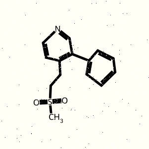 CS(=O)(=O)CCc1ccncc1-c1ccccc1